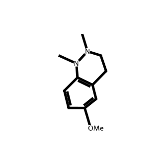 COc1ccc2c(c1)CCN(C)N2C